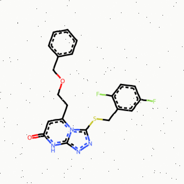 O=c1cc(CCOCc2ccccc2)n2c(SCc3cc(F)ccc3F)nnc2[nH]1